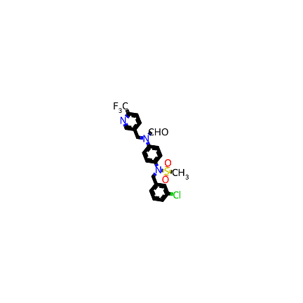 CS(=O)(=O)N(Cc1cccc(Cl)c1)c1ccc(N(C=O)Cc2ccc(C(F)(F)F)nc2)cc1